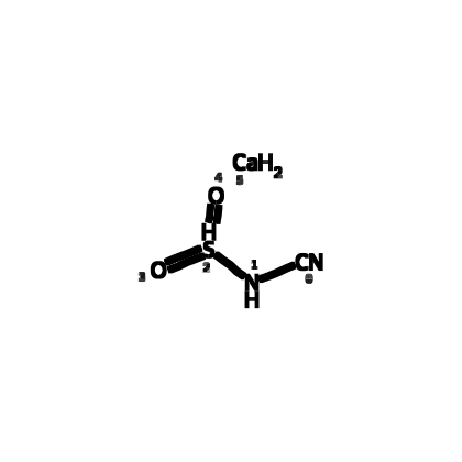 N#CN[SH](=O)=O.[CaH2]